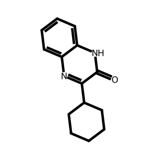 O=c1[nH]c2ccccc2nc1C1CCCCC1